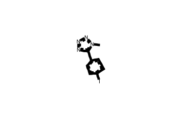 Cn1nnnc1-c1ccc(I)cc1